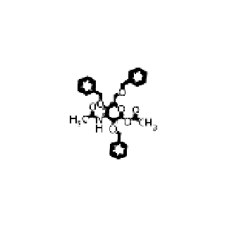 CC(=O)N[C@@H]1[C@@H](OCc2ccccc2)[C@@H](COCc2ccccc2)O[C@@H](OC(C)=O)[C@@H]1OCc1ccccc1